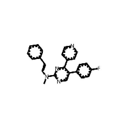 CN(C=Cc1ccccc1)c1ncc(-c2ccc(F)cc2)c(-c2ccncc2)n1